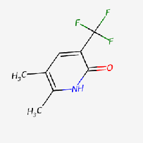 Cc1cc(C(F)(F)F)c(=O)[nH]c1C